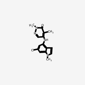 Cc1c(Nc2cc(Cl)cc3c2ccn3C)cnn(C)c1=O